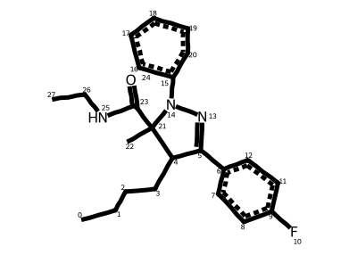 CCCCC1C(c2ccc(F)cc2)=NN(c2ccccc2)C1(C)C(=O)NCC